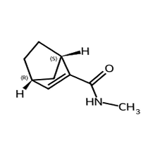 CNC(=O)C1=C[C@@H]2CC[C@H]1C2